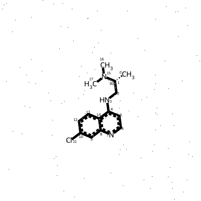 C[C@H](CNc1ccnc2cc(Cl)ccc12)N(C)C